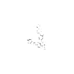 NC(=O)C1CCN(c2ccc(Nc3nc(NCc4ccncc4)ccc3[N+](=O)[O-])cc2F)CC1